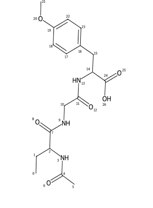 CCC(NC(C)=O)C(=O)NCC(=O)NC(Cc1ccc(OC)cc1)C(=O)O